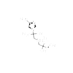 COC(C)(C)CNCC(C)(C)n1cnc(N)c1